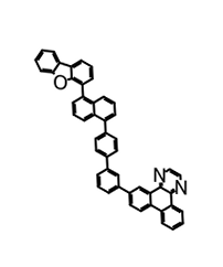 c1cc(-c2ccc(-c3cccc4c(-c5cccc6c5oc5ccccc56)cccc34)cc2)cc(-c2ccc3c4ccccc4c4nccnc4c3c2)c1